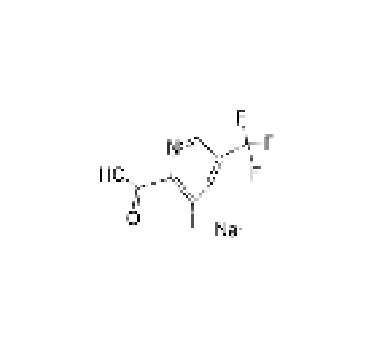 O=C(O)c1ncc(C(F)(F)F)cc1I.[Na]